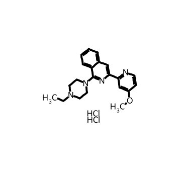 CCN1CCN(c2nc(-c3cc(OC)ccn3)cc3ccccc23)CC1.Cl.Cl